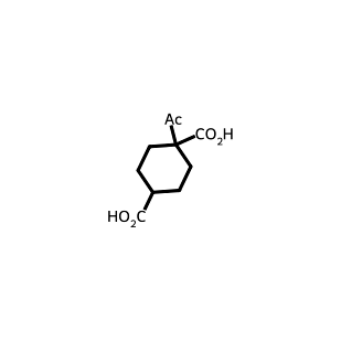 CC(=O)C1(C(=O)O)CCC(C(=O)O)CC1